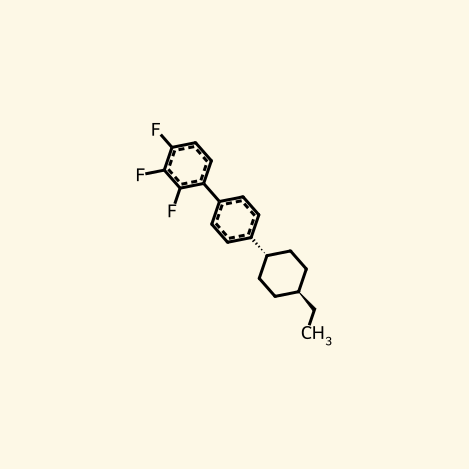 CC[C@H]1CC[C@H](c2ccc(-c3ccc(F)c(F)c3F)cc2)CC1